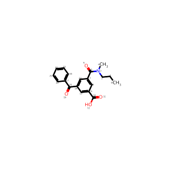 CCCN(C)C(=O)c1cc(C(=O)O)cc(C(=O)c2ccccc2)c1